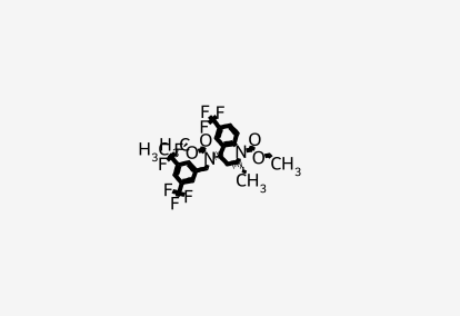 CCOC(=O)N1c2ccc(C(F)(F)F)cc2[C@@H](N(Cc2cc(C(C)(F)F)cc(C(F)(F)F)c2)C(=O)OC)C[C@H]1CC